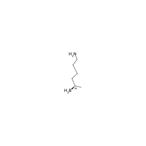 B[C@H](C)CCCCN